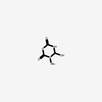 CC(C)(C)N1C(=O)OC(=O)NC1O